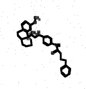 COc1ccc2c(c1)[C@]1([C@@H](C)CNc3ccc(NC(=O)CCCc4ccccc4)cc3)CCCCC1CC2